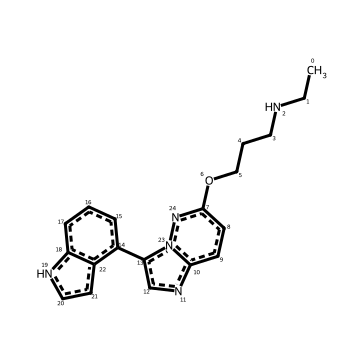 CCNCCCOc1ccc2ncc(-c3cccc4[nH]ccc34)n2n1